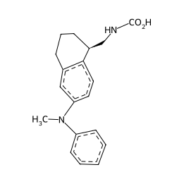 CN(c1ccccc1)c1ccc2c(c1)CCC[C@H]2CNC(=O)O